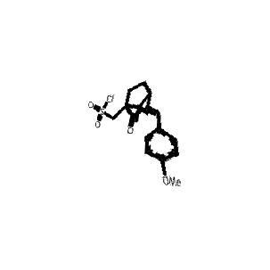 COc1ccc(C=C2C(=O)C3(CS(=O)(=O)Cl)CCC2C3(C)C)cc1